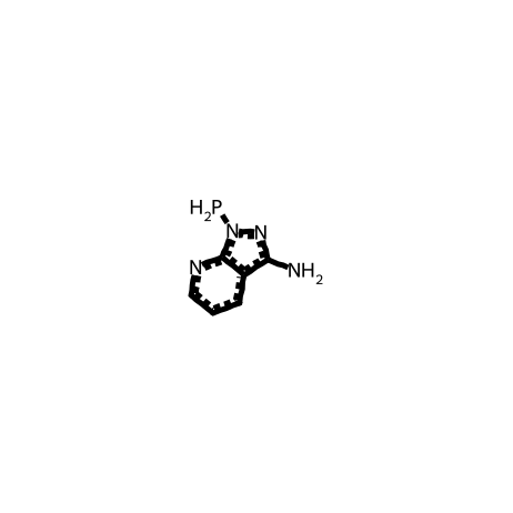 Nc1nn(P)c2ncccc12